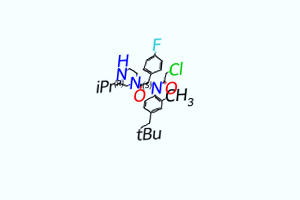 Cc1cc(CCC(C)(C)C)ccc1N(C(=O)CCl)[C@H](C(=O)N1CCN[C@H](C(C)C)C1)c1ccc(F)cc1